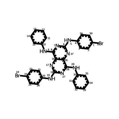 Brc1ccc(Nc2nc(Nc3ccccc3)c3nc(Nc4ccc(Br)cc4)nc(Nc4ccccc4)c3n2)cc1